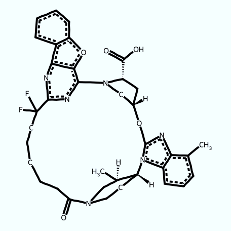 Cc1cccc2c1nc1n2[C@@H]2CCN(C[C@H]2C)C(=O)CCCCCC(F)(F)c2nc(c3oc4ccccc4c3n2)N2C[C@H](C[C@H]2C(=O)O)O1